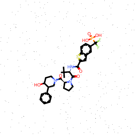 CC(C)(C)[C@H](NC(=O)c1cc2cc(C(F)(F)P(=O)(O)O)ccc2s1)C(=O)N1CCC[C@H]1C(=O)N1CCC(O)C(c2ccccc2)C1